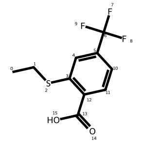 CCSc1cc(C(F)(F)F)ccc1C(=O)O